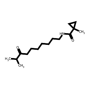 CC(C)C(=O)CCCCCCCNC(=O)C1(C)CC1